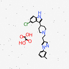 Cc1cccc(-n2cc(CCN3CCC(c4c[nH]c5ccc(Cl)cc45)CC3)cn2)c1.O=C(O)C(=O)O